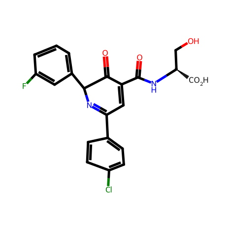 O=C(N[C@@H](CO)C(=O)O)C1=CC(c2ccc(Cl)cc2)=NC(c2cccc(F)c2)C1=O